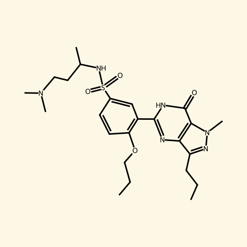 CCCOc1ccc(S(=O)(=O)NC(C)CCN(C)C)cc1-c1nc2c(CCC)nn(C)c2c(=O)[nH]1